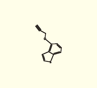 C#CCOc1cccc2sccc12